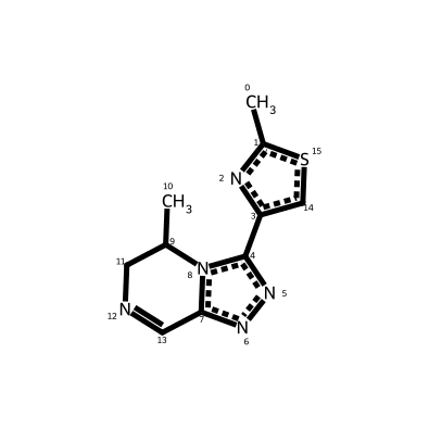 Cc1nc(-c2nnc3n2C(C)CN=C3)cs1